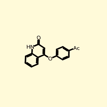 CC(=O)c1ccc(Oc2cc(=O)[nH]c3ccccc23)cc1